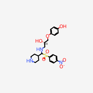 O=[N+]([O-])c1ccc(S(=O)(=O)C(NC[C@H](O)COc2ccc(O)cc2)C2CCNCC2)cc1